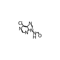 O=CNn1cnc2c(Cl)ncnc21